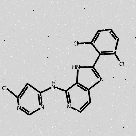 Clc1cc(Nc2nccc3nc(-c4c(Cl)cccc4Cl)[nH]c23)ncn1